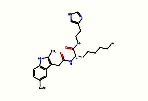 COc1ccc2[nH]c(C)c(CC(=O)N[C@@H](CCCCCC(C)=O)C(=O)NCCc3c[nH]cn3)c2c1